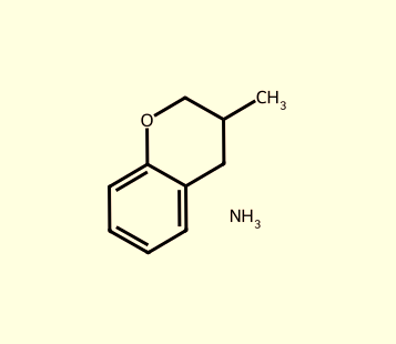 CC1COc2ccccc2C1.N